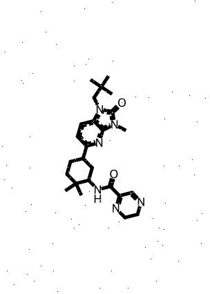 Cn1c(=O)n(CC(C)(C)C)c2ccc(C3CCC(C)(C)C(NC(=O)C4=NCCN=C4)C3)nc21